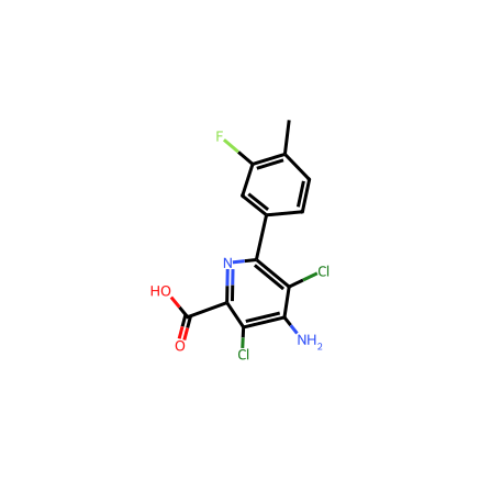 Cc1ccc(-c2nc(C(=O)O)c(Cl)c(N)c2Cl)cc1F